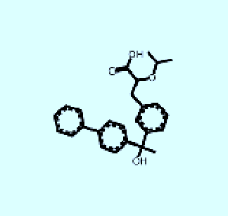 CC(C)OC(Cc1cccc(C(C)(O)c2ccc(-c3ccccc3)cc2)c1)C(=O)O